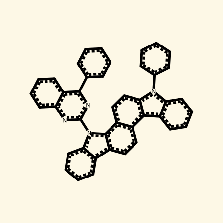 c1ccc(-c2nc(-n3c4ccccc4c4ccc5c(ccc6c5c5ccccc5n6-c5ccccc5)c43)nc3ccccc23)cc1